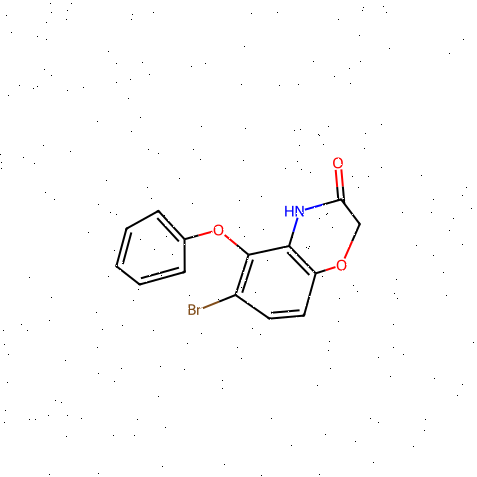 O=C1COc2ccc(Br)c(Oc3ccccc3)c2N1